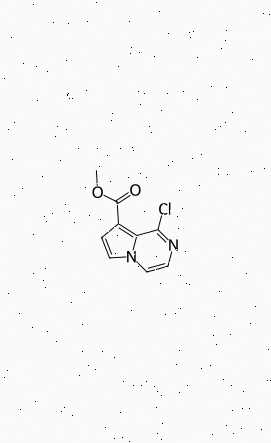 COC(=O)c1ccn2ccnc(Cl)c12